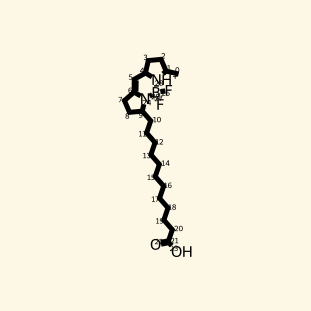 CC1CCC2C=C3CCC(CCCCCCCCCCCC(=O)O)N3[B-](F)(F)[NH+]12